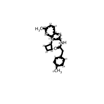 Cc1ccc(CC(=O)Nc2nc3ccc(C)nc3n2C2CCC2)cc1